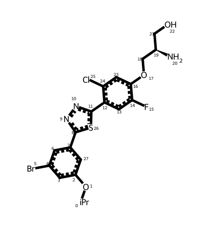 CC(C)Oc1cc(Br)cc(-c2nnc(-c3cc(F)c(OC[C@H](N)CO)cc3Cl)s2)c1